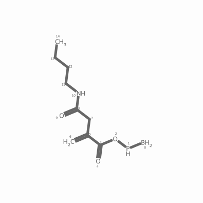 BPOC(=O)C(=C)CC(=O)NCCCC